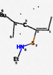 C/C=C(\CC(C)C(C)(C)C)SNCC